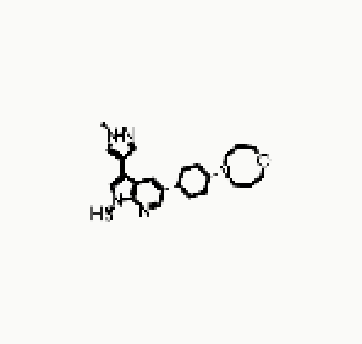 Cn1cc(-c2cn(S)c3ncc([C@H]4CC[C@@H](N5CCCOCCC5)CC4)cc23)cn1